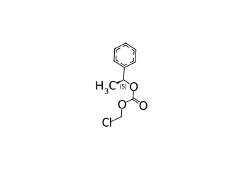 C[C@H](OC(=O)OCCl)c1ccccc1